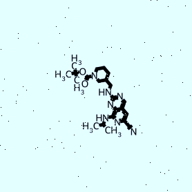 CC(C)Nc1nc(C#N)cc2cnc(NCC3CCCN(C(=O)OC(C)(C)C)C3)nc12